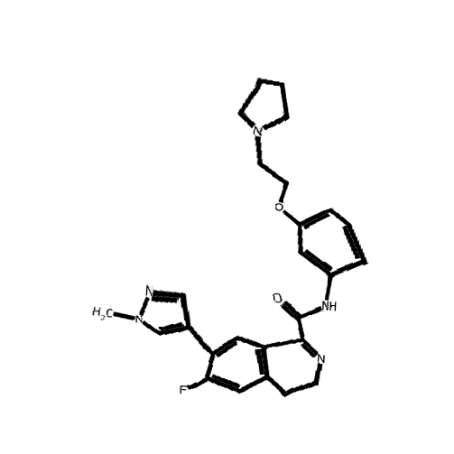 Cn1cc(-c2cc3c(cc2F)CCN=C3C(=O)Nc2cccc(OCCN3CCCC3)c2)cn1